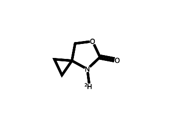 [2H]N1C(=O)OCC12CC2